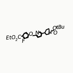 CCOC(=O)c1ccc(OCc2ccc(C3CCN(C(=O)OC(C)(C)C)CC3)cn2)cc1F